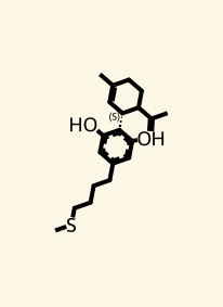 C=C(C)C1CCC(C)=C[C@H]1c1c(O)cc(CCCCSC)cc1O